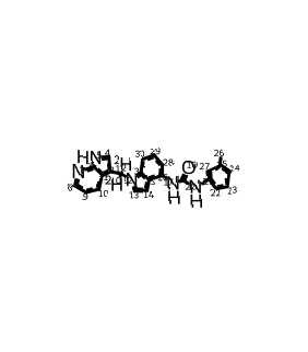 [2H]C([2H])(c1c[nH]c2ncccc12)n1ccc2c(NC(=O)Nc3cccc(C)c3)cccc21